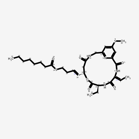 C/C=C1\NC(=O)c2cc(SC)cc(n2)CNC(=O)C[C@@H](/C=C/CCSC(=O)CCCCCCC)OC(=O)[C@H](CC)NC1=O